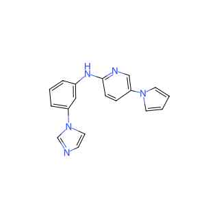 c1cc(Nc2ccc(-n3cccc3)cn2)cc(-n2ccnc2)c1